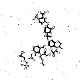 CC1COc2ccccc2N1C(=O)C(Cl)Cl.CCOCN(C(=O)CCl)c1c(C)cccc1CC.C[S+](C)C.O=C(O)CNCP(=O)([O-])O.O=C(O)c1cc(Oc2ccc(C(F)(F)F)cc2Cl)ccc1[N+](=O)[O-]